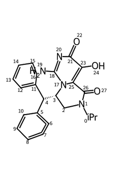 CC(C)N1C[C@H](C(C2=C=C=CC=C2)c2ccccc2)n2c(N)nc(=O)c(O)c2C1=O